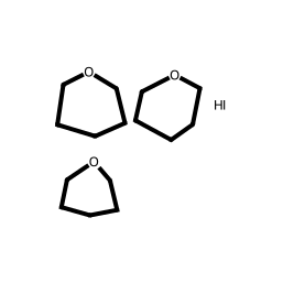 C1CCOCC1.C1CCOCC1.C1CCOCC1.I